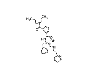 CCCN(CCC)C(=O)c1cccc(C(=O)N[C@@H](Cc2ccccc2)[C@H](O)CNCCc2ccccn2)c1